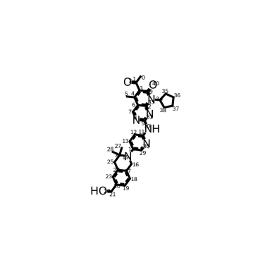 CC(=O)c1c(C)c2cnc(Nc3ccc(N4Cc5ccc(CO)cc5CC4(C)C)cn3)nc2n(C2CCCC2)c1=O